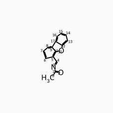 CC(=O)/N=C/c1cccc2c1oc1ccccc12